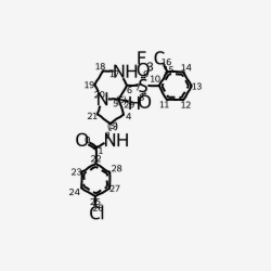 O=C(N[C@H]1C[C@H]2C(S(=O)(=O)c3ccccc3C(F)(F)F)NCCN2C1)c1ccc(Cl)cc1